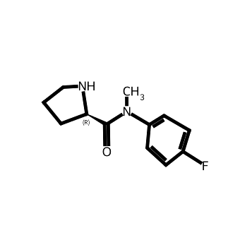 CN(C(=O)[C@H]1CCCN1)c1ccc(F)cc1